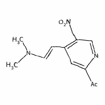 CC(=O)c1cc(/C=C/N(C)C)c([N+](=O)[O-])cn1